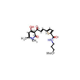 COCCCNC(=O)c1ccc(/C=C/C(=O)c2c(O)cc(C)n(C)c2=O)s1